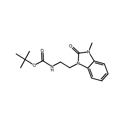 Cn1c(=O)n(CCNC(=O)OC(C)(C)C)c2ccccc21